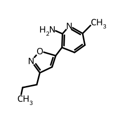 CCCc1cc(-c2ccc(C)nc2N)on1